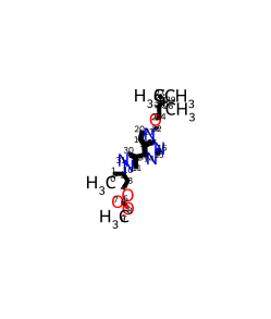 CCC(CCOC(=O)OC)n1cc(-c2ncnc3c2ccn3COCC[Si](C)(C)C)cn1